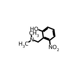 CN(C)Cc1c(O)cccc1[N+](=O)[O-]